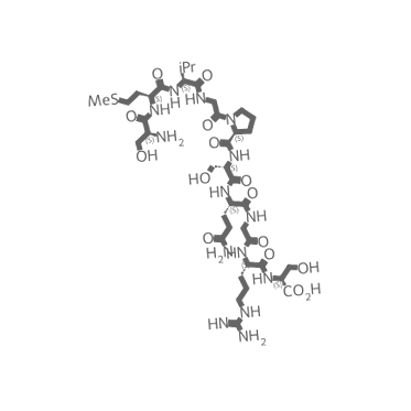 CSCC[C@H](NC(=O)[C@@H](N)CO)C(=O)N[C@H](C(=O)NCC(=O)N1CCC[C@H]1C(=O)N[C@@H](CO)C(=O)N[C@@H](CCC(N)=O)C(=O)NCC(=O)N[C@@H](CCCNC(=N)N)C(=O)N[C@@H](CO)C(=O)O)C(C)C